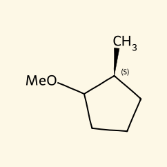 COC1CCC[C@@H]1C